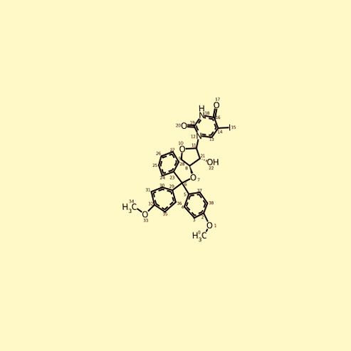 COc1ccc(C(O[C@H]2COC(n3cc(I)c(=O)[nH]c3=O)[C@@H]2O)(c2ccccc2)c2ccc(OC)cc2)cc1